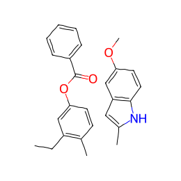 CCc1cc(OC(=O)c2ccccc2)ccc1C.COc1ccc2[nH]c(C)cc2c1